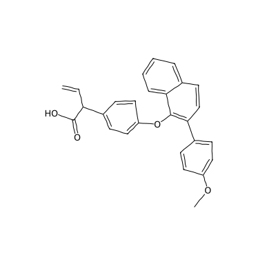 C=CC(C(=O)O)c1ccc(Oc2c(-c3ccc(OC)cc3)ccc3ccccc23)cc1